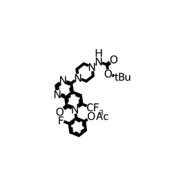 CC(=O)Oc1cccc(F)c1-n1c(C(F)(F)F)cc2c(N3CCN(NC(=O)OC(C)(C)C)CC3)ncnc2c1=O